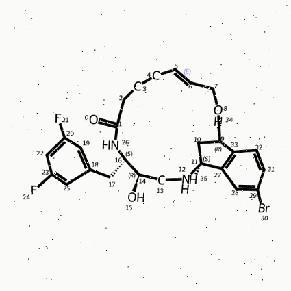 O=C1CCC/C=C/CO[C@@H]2C[C@H](NC[C@@H](O)[C@H](Cc3cc(F)cc(F)c3)N1)c1cc(Br)ccc12